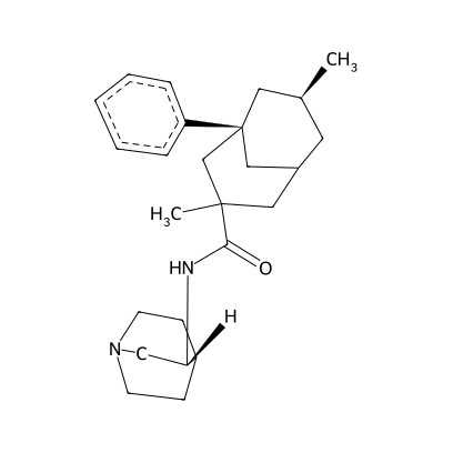 C[C@H]1CC2CC(C)(C(=O)N[C@H]3CN4CCC3CC4)C[C@@](c3ccccc3)(C2)C1